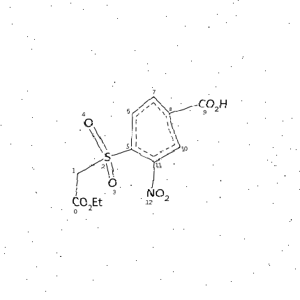 CCOC(=O)CS(=O)(=O)c1ccc(C(=O)O)cc1[N+](=O)[O-]